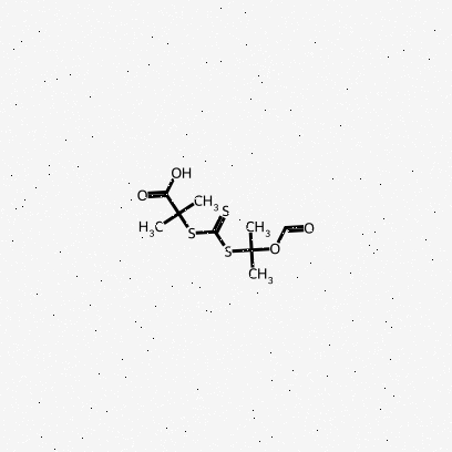 CC(C)(OC=O)SC(=S)SC(C)(C)C(=O)O